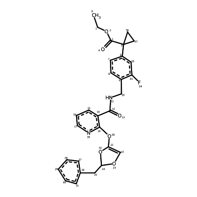 CCOC(=O)C1(c2ccc(CNC(=O)c3cccnc3OC3=COC(Cc4ccccc4)O3)c(F)c2)CC1